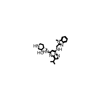 CC(C)c1cnn2c(NCc3nc4ccccc4n3C)cc(NC[C@H]3CCNC[C@@H]3O)nc12